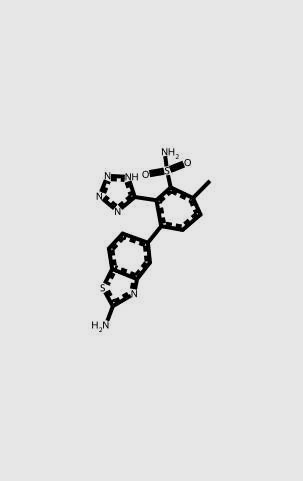 Cc1ccc(-c2ccc3sc(N)nc3c2)c(-c2nnn[nH]2)c1S(N)(=O)=O